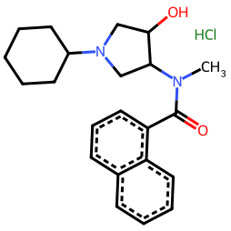 CN(C(=O)c1cccc2ccccc12)C1CN(C2CCCCC2)CC1O.Cl